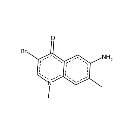 Cc1cc2c(cc1N)c(=O)c(Br)cn2C